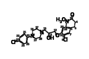 CN1C(=O)CCc2cc(Cl)c(OCC(O)CN3CCN(c4ccc(Cl)cc4)CC3)cc21